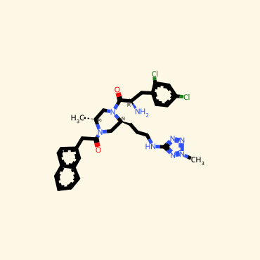 C[C@@H]1CN(C(=O)[C@H](N)Cc2ccc(Cl)cc2Cl)[C@@H](CCCNc2nnn(C)n2)CN1C(=O)Cc1ccc2ccccc2c1